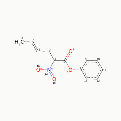 C/C=C/CC(C(=O)Oc1ccccc1)[N+](=O)[O-]